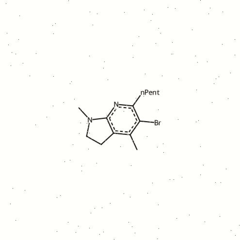 CCCCCc1nc2c(c(C)c1Br)CCN2C